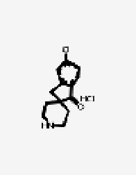 Cl.O=C1c2ccc(Cl)cc2CC12CCNCC2